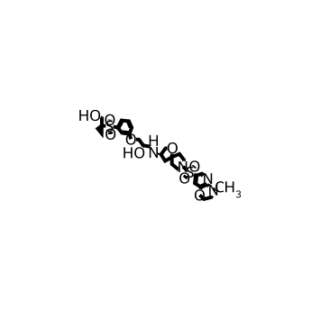 CN1CCOc2cc(S(=O)(=O)N3CCC4(CC3)C[C@@H](NCC(O)COc3cccc(S(=O)(=O)C5(CO)CC5)c3)CO4)cnc21